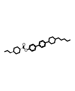 CCCCCC1CCC(c2ccc(-c3ccc(OC(=O)[C@H]4CC[C@H](CCC)CC4)cc3)cc2)CC1